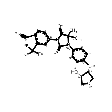 CC1(C)C(=O)N(c2ccc(C#N)c(C(F)(F)F)c2)C(=S)N1c1ccc(O[C@@H]2COC[C@@H]2O)cc1